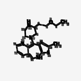 CCOCCC1CN(C2=c3ncccc3=CNc3sc(C)cc32)CCN1